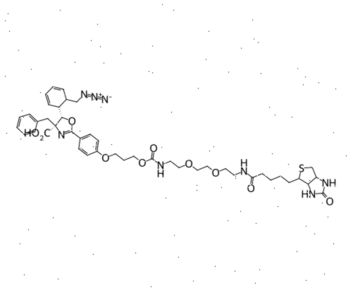 [N-]=[N+]=NCC1C=CC=CC1[C@@H]1OC(c2ccc(OCCCOC(=O)NCCOCCOCCNC(=O)CCCCC3SCC4NC(=O)NC43)cc2)=N[C@]1(Cc1ccccc1)C(=O)O